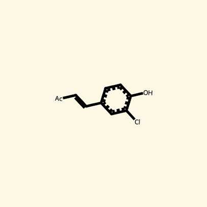 CC(=O)/C=C/c1ccc(O)c(Cl)c1